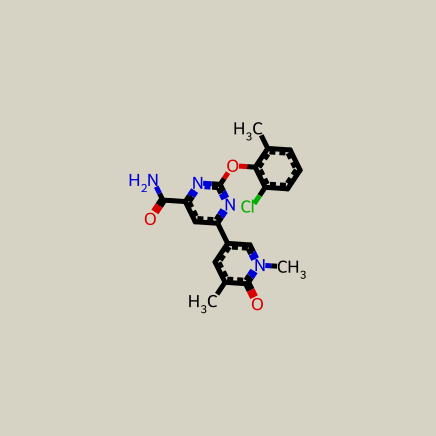 Cc1cccc(Cl)c1Oc1nc(C(N)=O)cc(-c2cc(C)c(=O)n(C)c2)n1